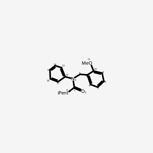 CCCC(C)C(=O)N(Cc1ccccc1OC)c1ccccc1